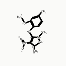 COc1cc(C)ccc1OC1=C([N+](=O)[O-])C(C)NN1C